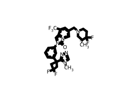 C[C@@H]1CN(Cc2cc(C(F)(F)F)c3cn(-c4cccc(C5(c6nncn6C)CC(F)(F)C5)c4)c(=O)n3c2)CCC1(F)F